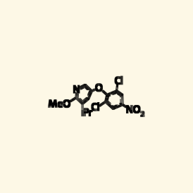 COc1ncc(Oc2c(Cl)cc([N+](=O)[O-])cc2Cl)cc1C(C)C